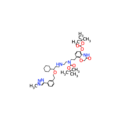 Cn1cc(-c2cccc(CCOC(CCNCCN(CCc3ccc(OC(=O)OC(C)(C)C)c4c3OCC(=O)N4)C(=O)OC(C)(C)C)C3CCCCC3)c2)nn1